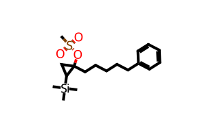 C[Si](C)(C)C1CC1(CCCCCc1ccccc1)OS(C)(=O)=O